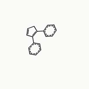 C1=CC(c2ccccc2)=C(c2ccccc2)C1